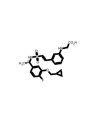 C[C@@H](NS(=O)(=O)/C=C/c1cccc(NCC(=O)O)c1)c1ccc(F)c(OCC2CC2)c1